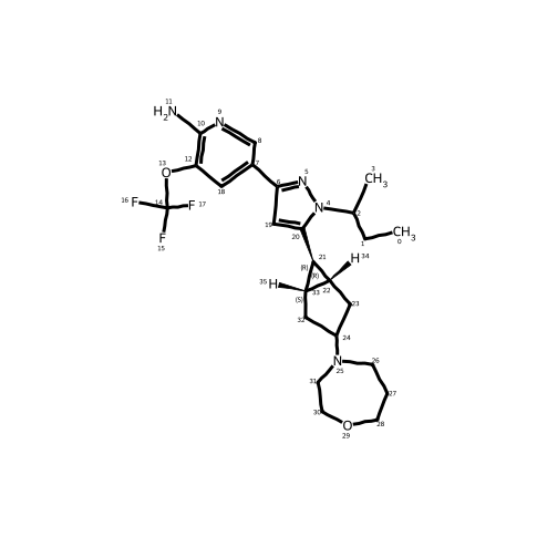 CCC(C)n1nc(-c2cnc(N)c(OC(F)(F)F)c2)cc1[C@H]1[C@@H]2CC(N3CCCOCC3)C[C@@H]21